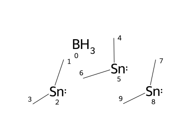 B.[CH3][Sn][CH3].[CH3][Sn][CH3].[CH3][Sn][CH3]